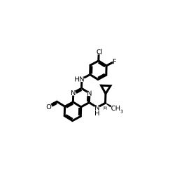 C[C@@H](Nc1nc(Nc2ccc(F)c(Cl)c2)nc2c(C=O)cccc12)C1CC1